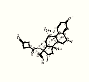 C[C@@H]1C[C@H]2[C@@H]3C[C@H](F)C4=CC(=O)C=C[C@]4(C)[C@@]3(F)[C@@H](O)C[C@]2(C)[C@@]1(OC(=O)C1CC(=O)C1)C(O)=S